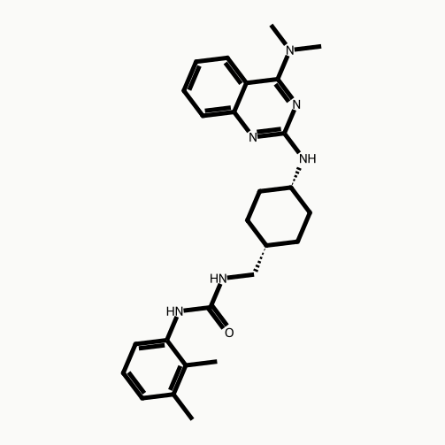 Cc1cccc(NC(=O)NC[C@H]2CC[C@@H](Nc3nc(N(C)C)c4ccccc4n3)CC2)c1C